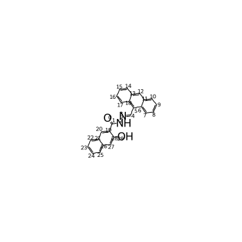 O=C(NN=Cc1c2ccccc2cc2ccccc12)c1cc2ccccc2cc1O